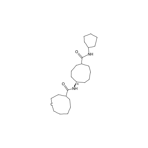 O=C(NC1CCCCC1)C1CCCC[C@@H](NC(=O)C2CCCCCCCC2)CCC1